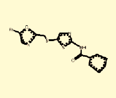 CCc1cnc(CSc2cnc(NC(=O)c3ccccc3)s2)o1